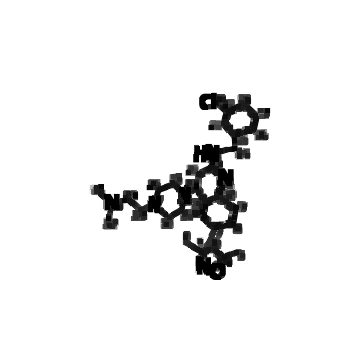 Cc1noc(C)c1-c1ccc2nc(NCc3cccc(Cl)c3)cc(N3CCN(CCN(C)C)CC3)c2c1